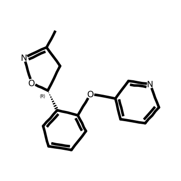 CC1=NO[C@@H](c2ccccc2Oc2cccnc2)C1